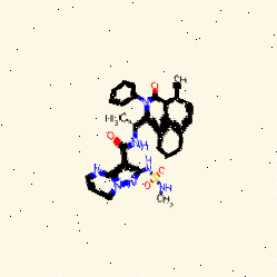 C#Cc1ccc2c3c(c([C@@H](C)NC(=O)c4c(NS(=O)(=O)NC)nn5cccnc45)n(-c4ccccc4)c(=O)c13)CCC2